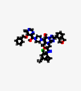 CCc1c(N2CCN(C(=O)c3ncnc(C)c3OCc3ccccc3)CC2)c(=O)n2nc(-c3cccc4c3COC4)nc2n1CC(=O)Nc1c(Cl)cc(C(F)(F)F)c2c1CC2